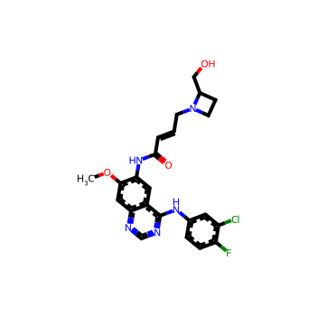 COc1cc2ncnc(Nc3ccc(F)c(Cl)c3)c2cc1NC(=O)C=CCN1CCC1CO